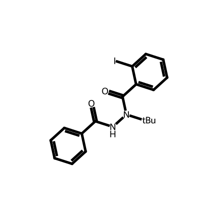 CC(C)(C)N(NC(=O)c1ccccc1)C(=O)c1ccccc1I